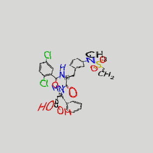 C=CS(=O)(=O)N(C)c1cccc(C[C@H](NC(=O)c2cc(Cl)ccc2Cl)C(=O)N[C@H](CB(O)O)c2ccccc2)c1